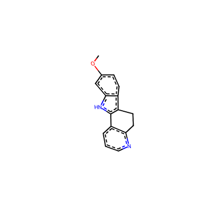 COc1ccc2c3c([nH]c2c1)-c1cccnc1CC3